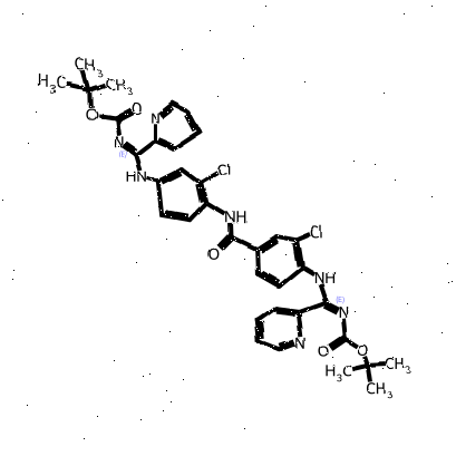 CC(C)(C)OC(=O)/N=C(/Nc1ccc(NC(=O)c2ccc(N/C(=N/C(=O)OC(C)(C)C)c3ccccn3)c(Cl)c2)c(Cl)c1)c1ccccn1